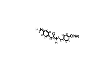 COc1ccc(CCNC(=O)Cc2ccc(N)cc2)cc1